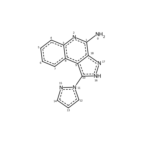 Nc1nc2ccccc2c2c(-n3cccn3)[nH]nc12